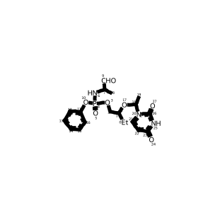 CCC(COP(=O)(NC(C)C=O)Oc1ccccc1)OC(C)n1ccc(=O)[nH]c1=O